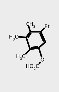 CCc1cc(OC(=O)O)c(C)c(C)c1C